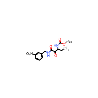 CC(C)(C)OC(=O)NC(CC(F)(F)F)C(=O)C(=O)NCc1cccc([N+](=O)[O-])c1